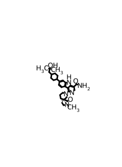 CN1CC[C@@]2(CCCN(c3ncc(C(N)=O)c4[nH]c5cc(C6CCC(CC(C)(C)O)CC6)ccc5c34)C2)C1=O